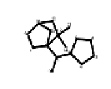 CC(C1CCCC1)C12CCC(CC1(C)C)C2